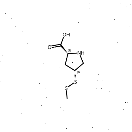 CSS[C@H]1CN[C@H](C(=O)O)C1